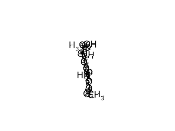 CC(=O)COCCOCCNC(=O)COCCOCCNC(=O)CCC(C)C(=O)O